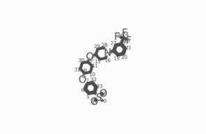 CS(=O)(=O)c1ccc(O[C@H]2CC[C@H](OC3CCN(c4cccc(C(F)(F)F)c4)CC3)CC2)cc1